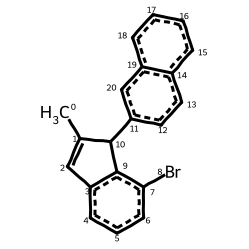 CC1=Cc2cccc(Br)c2C1c1ccc2ccccc2c1